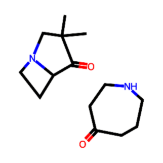 CC1(C)CN2CCC2C1=O.O=C1CCCNCC1